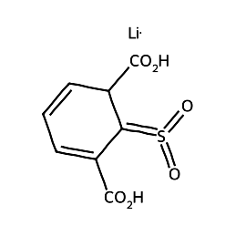 O=C(O)C1=CC=CC(C(=O)O)C1=S(=O)=O.[Li]